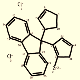 [Cl-].[Cl-].[Zr+2][C]1=C(C2(C3C=CCC3)c3ccccc3-c3ccccc32)C=CC1